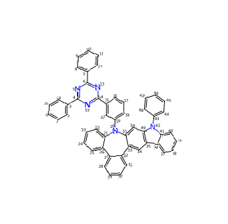 c1ccc(-c2nc(-c3ccccc3)nc(-c3cccc(N4c5ccccc5-c5ccccc5-c5cc6c7ccccc7n(-c7ccccc7)c6cc54)c3)n2)cc1